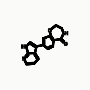 O=C1NCCOc2cc(-c3c[nH]c4ncccc34)ccc21